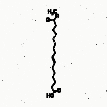 COC(=O)CCCCCCCC=CCCCCCC(=O)O